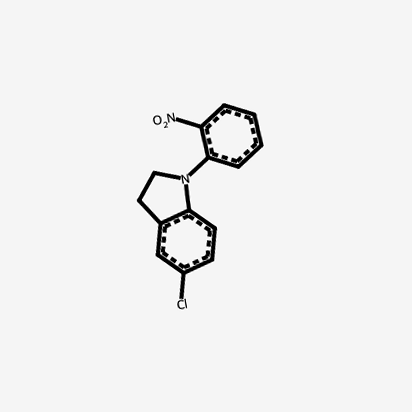 O=[N+]([O-])c1ccccc1N1CCc2cc(Cl)ccc21